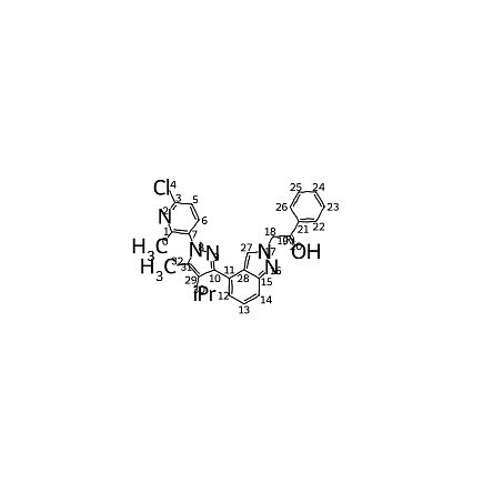 Cc1nc(Cl)ccc1-n1nc(-c2cccc3nn(C[C@H](O)c4ccccc4)cc23)c(C(C)C)c1C